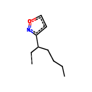 CCCCC(CC)c1ccon1